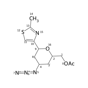 CC(=O)OCC1[CH]C(N=[N+]=[N-])[CH]C(c2csc(C)n2)O1